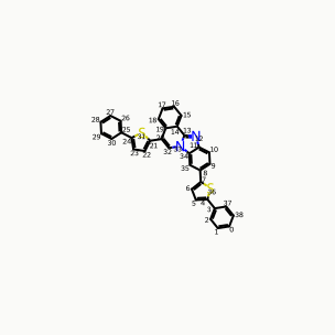 c1ccc(-c2ccc(-c3ccc4nc5c6ccccc6c(-c6ccc(-c7ccccc7)s6)cn5c4c3)s2)cc1